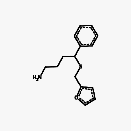 NCCCC(SCc1ccco1)c1ccccc1